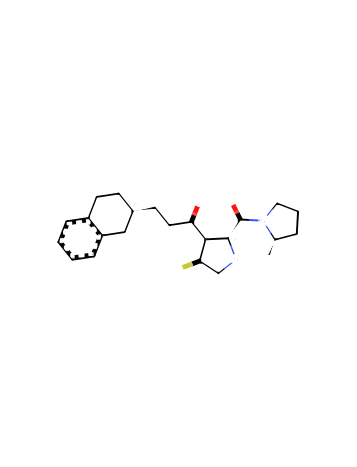 O=C[C@@H]1CCCN1C(=O)[C@H]1NCC(=S)C1C(=O)CC[C@@H]1CCc2ccccc2C1